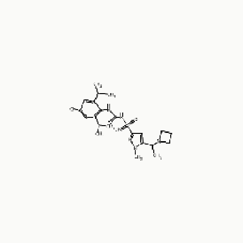 CC(C)c1cc(Cl)cc(C(C)C)c1NC(=O)NS(=N)(=O)c1cc(C(C)N2CCC2)n(C)n1